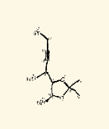 CCC[C@@H]1OC(C)(C)OC1C(O)C#CCC(C)C